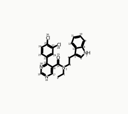 CCN(CCc1c[nH]c2ccccc12)C(=O)c1cncnc1-c1ccc(Cl)c(Cl)c1